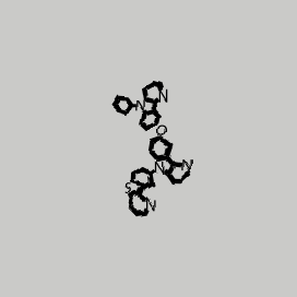 c1ccc(-n2c3ccc(Oc4ccc5c(c4)c4ncccc4n5-c4ccc5sc6cccnc6c5c4)cc3c3ncccc32)cc1